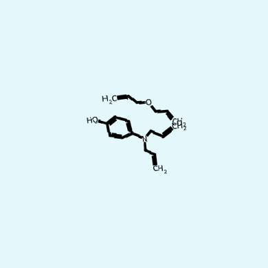 C=CCN(CC=C)c1ccc(O)cc1.C=CCOCC=C